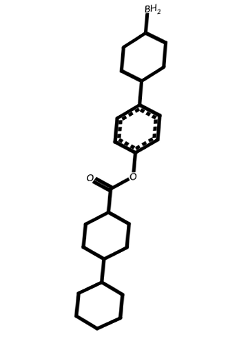 BC1CCC(c2ccc(OC(=O)C3CCC(C4CCCCC4)CC3)cc2)CC1